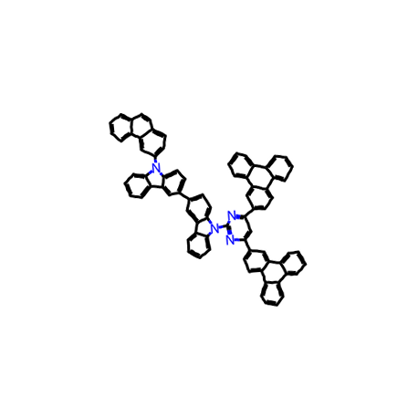 c1ccc2c(c1)ccc1ccc(-n3c4ccccc4c4cc(-c5ccc6c(c5)c5ccccc5n6-c5nc(-c6ccc7c8ccccc8c8ccccc8c7c6)cc(-c6ccc7c8ccccc8c8ccccc8c7c6)n5)ccc43)cc12